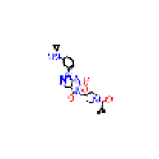 O=C(C1CC1)N1CCC(O)(Cn2cnc3c(cnn3-c3cccc(NC4CC4)c3)c2=O)CC1